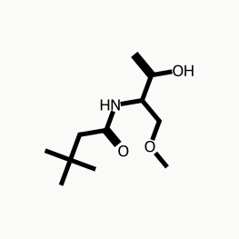 C=C(O)C(COC)NC(=O)CC(C)(C)C